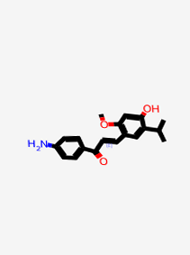 COc1cc(O)c(C(C)C)cc1/C=C/C(=O)c1ccc(N)cc1